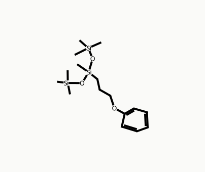 C[Si](C)(C)O[Si](C)(CCCOc1ccccc1)O[Si](C)(C)C